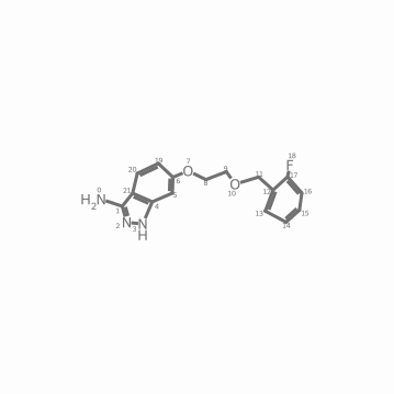 Nc1n[nH]c2cc(OCCOCc3ccccc3F)ccc12